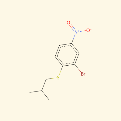 CC(C)CSc1ccc([N+](=O)[O-])cc1Br